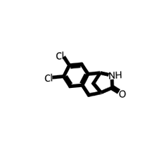 O=C1NC2CC1Cc1cc(Cl)c(Cl)cc12